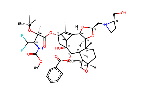 CC(=O)O[C@@]12CO[C@@H]1CC[C@@]1(C)[C@@H]3O[C@H](CN4CC[C@@H]4CO)O[C@@H]3C3=C(C)[C@@H](OC(=O)[C@](C)(O[Si](C)(C)C(C)(C)C)[C@@H](NC(=O)OC(C)C)C(F)F)C[C@@](O)([C@@H](OC(=O)c4ccccc4)[C@@H]12)C3(C)C